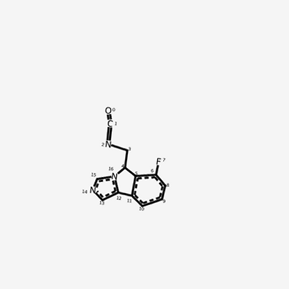 O=C=NCC1c2c(F)cccc2-c2cncn21